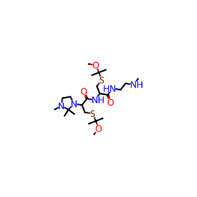 CNCCNC(=O)C(CSC(C)(C)OC)NC(=O)C(CSC(C)(C)OC)N1CCN(C)C1(C)C